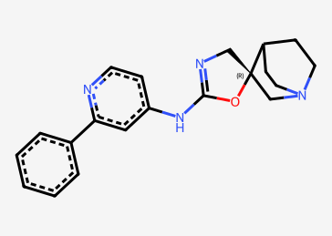 c1ccc(-c2cc(NC3=NC[C@@]4(CN5CCC4CC5)O3)ccn2)cc1